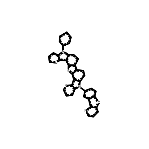 c1ccc(-n2c3cccnc3c3c4sc5c(ccc6c5c5ncccc5n6-c5ccc6oc7cccnc7c6c5)c4ccc32)cc1